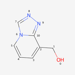 OCc1cccn2cnnc12